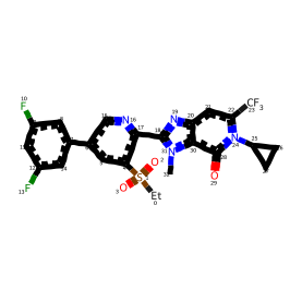 CCS(=O)(=O)c1cc(-c2cc(F)cc(F)c2)cnc1-c1nc2cc(C(F)(F)F)n(C3CC3)c(=O)c2n1C